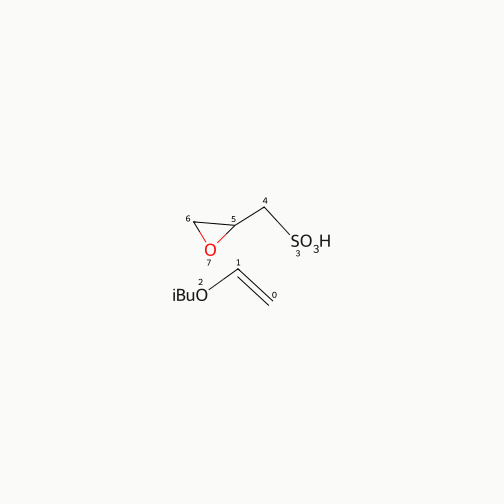 C=COCC(C)C.O=S(=O)(O)CC1CO1